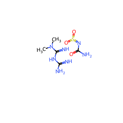 CN(C)C(=N)NC(=N)N.NC(=O)N=S(=O)=O